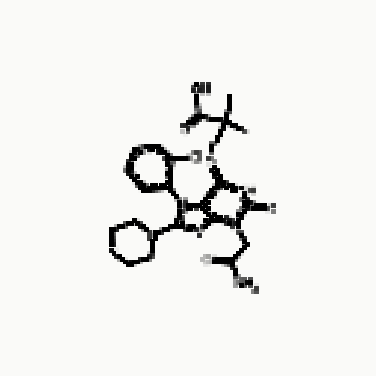 NC(=O)Cn1c(=O)[nH]c(=O)c2c1nc(N1CCNCC1)n2-c1ccccc1Cl.O=C(O)C(F)(F)F